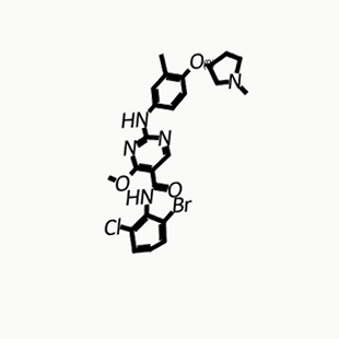 COc1nc(Nc2ccc(O[C@@H]3CCN(C)C3)c(C)c2)ncc1C(=O)Nc1c(Cl)cccc1Br